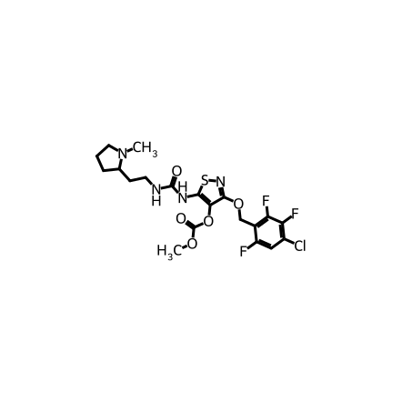 COC(=O)Oc1c(OCc2c(F)cc(Cl)c(F)c2F)nsc1NC(=O)NCCC1CCCN1C